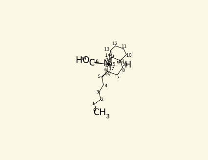 CCCCCC[C@@H]1CC[C@@H]2CCCC[C@]23CC[C@@H](CO)N13